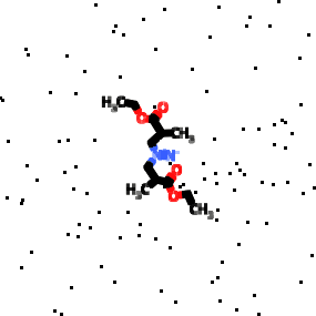 CCOC(=O)C(C)C[N+](=[N-])CC(C)C(=O)OCC